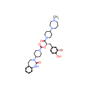 CN1CCCN(C2CCN(C(=O)[C@@H](Cc3ccc(O)c(Br)c3)OC(=O)N3CCC(N4CCc5ccccc5NC4=O)CC3)CC2)CC1